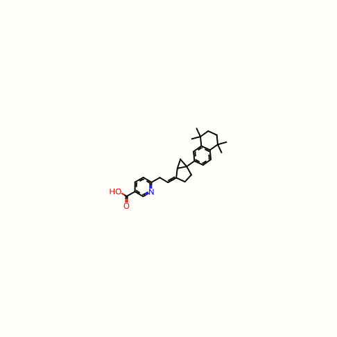 CC1(C)CCC(C)(C)c2cc(C34CCC(=CCc5ccc(C(=O)O)cn5)C3C4)ccc21